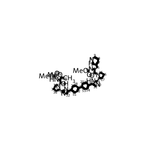 COC(=O)N[C@@H](Cc1cccnc1)C(=O)N1CCC[C@H]1c1ncc(-c2ccc(-c3ccc(-c4cnc([C@@H]5CCCN5C(=O)[C@@H](NC(=O)OC)[C@@H](C)OC)[nH]4)cc3)cc2)[nH]1